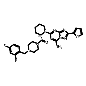 Nc1nc(N2CCCC[C@H]2C(=O)N2CCN(Cc3ccc(F)cc3F)CC2)nc2nc(-c3ccco3)nn12